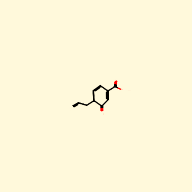 C=CCC1C=CC(C(=O)O)=CC1=O